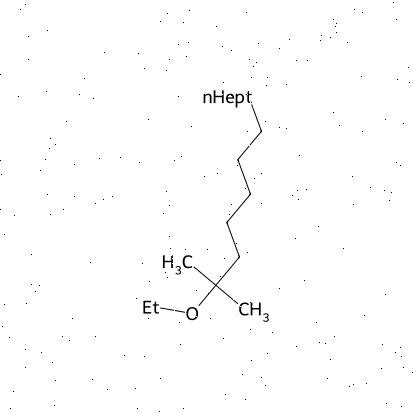 CCCCCCCCCCCCC(C)(C)OCC